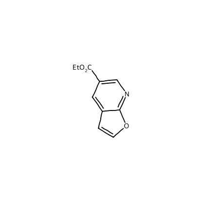 CCOC(=O)c1cnc2occc2c1